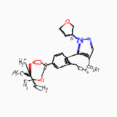 CCOC(=O)c1cnn([C@H]2CCOC2)c1-c1ccc(B2OC(C)(C)C(C)(C)O2)cc1C